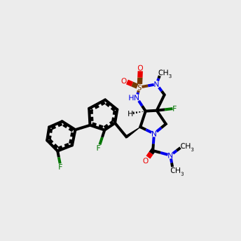 CN(C)C(=O)N1CC2(F)CN(C)S(=O)(=O)N[C@@H]2[C@@H]1Cc1cccc(-c2cccc(F)c2)c1F